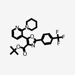 CC(C)(C)OC(=O)c1nc(-c2ccc(C(F)(F)F)cc2)oc1-c1cccnc1N1CCCCC1